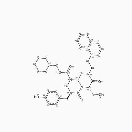 O=C1[C@H](CO)N2C(=O)[C@@H](Cc3ccc(O)cc3)ON(C(=O)OCC3CCCCC3)C2CN1CCc1cccc2ccccc12